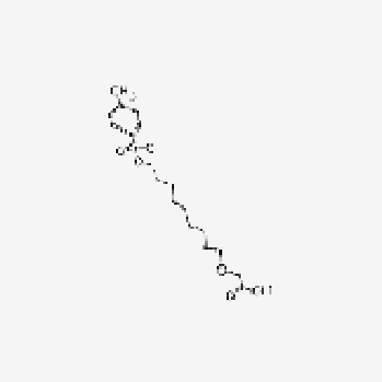 Cc1ccc(S(=O)(=O)OCCCCCCCCCOCC(=O)O)cc1